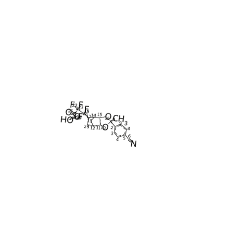 CC1(c2ccc(C#N)cc2)OC2C3CC(C2O1)C(C(F)(F)C(F)(F)S(=O)(=O)O)C3